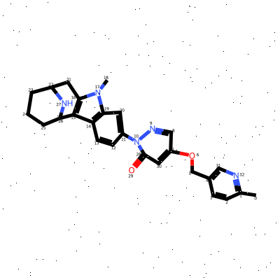 Cc1ccc(COc2cnn(-c3ccc4c5c(n(C)c4c3)CC3CCCC5N3)c(=O)c2)cn1